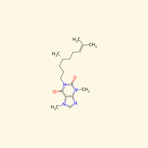 CC(C)=CCC[C@@H](C)CCCn1c(=O)c2c(ncn2C)n(C)c1=O